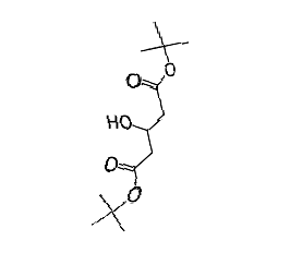 CC(C)(C)OC(=O)CC(O)CC(=O)OC(C)(C)C